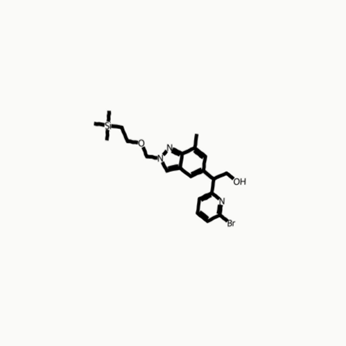 Cc1cc(C(CO)c2cccc(Br)n2)cc2cn(COCC[Si](C)(C)C)nc12